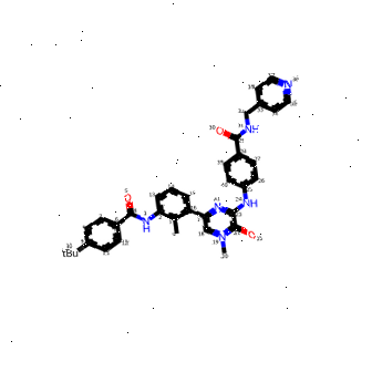 Cc1c(NC(=O)c2ccc(C(C)(C)C)cc2)cccc1-c1cn(C)c(=O)c(Nc2ccc(C(=O)NCc3ccncc3)cc2)n1